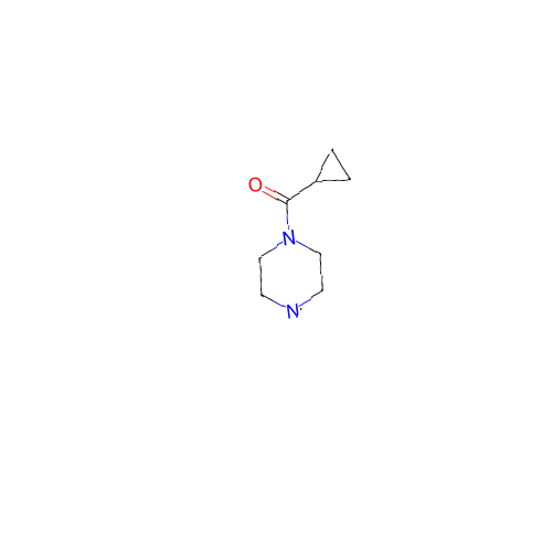 O=C(C1CC1)N1CC[N]CC1